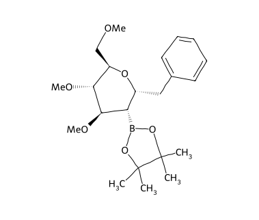 COC[C@H]1O[C@H](Cc2ccccc2)[C@H](B2OC(C)(C)C(C)(C)O2)[C@@H](OC)[C@@H]1OC